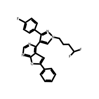 Fc1ccc(-c2nn(CCCC(F)F)cc2-c2ncnc3oc(-c4ccccc4)cc23)cc1